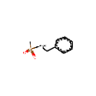 CS(=O)(=O)[AsH]Cc1ccccc1